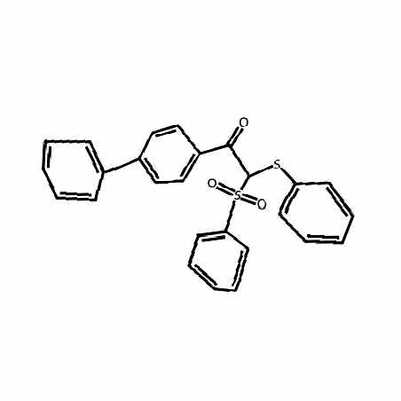 O=C(c1ccc(-c2ccccc2)cc1)C(Sc1ccccc1)S(=O)(=O)c1ccccc1